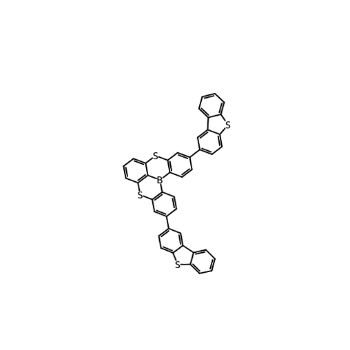 c1cc2c3c(c1)Sc1cc(-c4ccc5sc6ccccc6c5c4)ccc1B3c1ccc(-c3ccc4sc5ccccc5c4c3)cc1S2